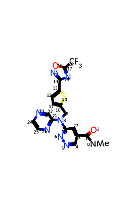 CNC(=O)c1cnnc(N(Cc2ccc(-c3noc(C(F)(F)F)n3)s2)c2cnccn2)c1